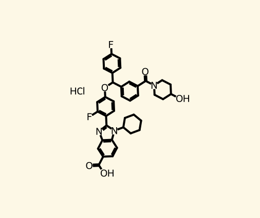 Cl.O=C(O)c1ccc2c(c1)nc(-c1ccc(OC(c3ccc(F)cc3)c3cccc(C(=O)N4CCC(O)CC4)c3)cc1F)n2C1CCCCC1